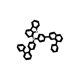 c1ccc(-c2ccccc2-c2ccc(N(c3ccc(-c4ccc5cccc(-c6ccccc6)c5c4)cc3)c3cccc4c3sc3ccccc34)cc2)cc1